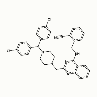 N#Cc1ccccc1CNc1nc(CN2CCN(C(c3ccc(Cl)cc3)c3ccc(Cl)cc3)CC2)nc2ccccc12